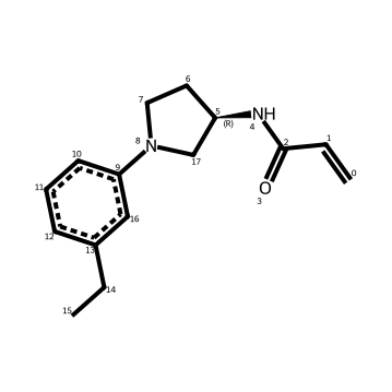 C=CC(=O)N[C@@H]1CCN(c2cccc(CC)c2)C1